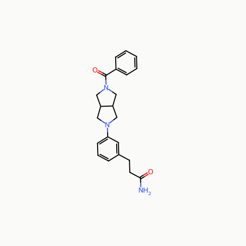 NC(=O)CCc1cccc(N2CC3CN(C(=O)c4ccccc4)CC3C2)c1